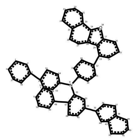 c1ccc(-c2ccc(N(c3ccc(-c4cccc5oc6c7ccccc7ccc6c45)cc3)c3cc(-c4ccc5ccccc5c4)ccc3-c3ccccc3)cc2)cc1